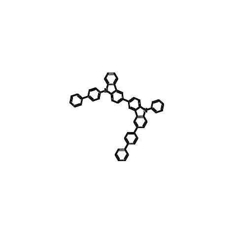 c1ccc(-c2ccc(-c3ccc4c(c3)c3cc(-c5ccc6c(c5)c5ccccc5n6-c5ccc(-c6ccccc6)cc5)ccc3n4-c3ccccc3)cc2)cc1